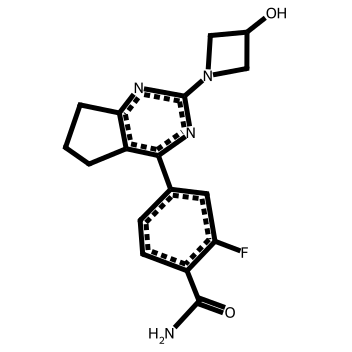 NC(=O)c1ccc(-c2nc(N3CC(O)C3)nc3c2CCC3)cc1F